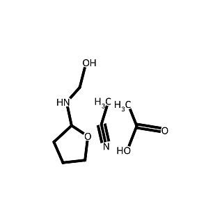 CC#N.CC(=O)O.OCNC1CCCO1